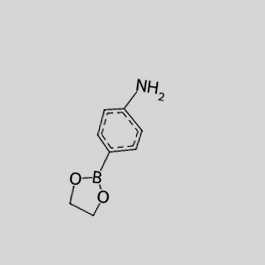 Nc1ccc(B2OCCO2)cc1